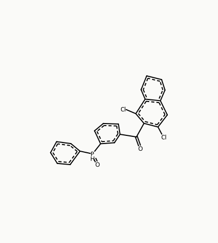 O=C(c1cccc([PH](=O)c2ccccc2)c1)c1c(Cl)cc2ccccc2c1Cl